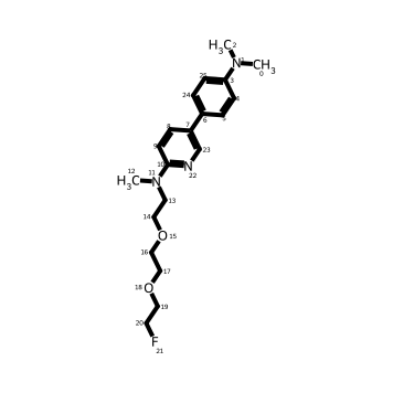 CN(C)c1ccc(-c2ccc(N(C)CCOCCOCCF)nc2)cc1